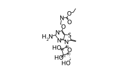 C=C1Sc2c(OCN(C)C(=O)OCC)nc(N)nc2N1[C@@H]1O[C@H](CO)[C@@H](O)[C@H]1O